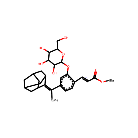 COC(=C1C2CC3CC(C2)CC1C3)c1ccc(/C=C/C(=O)OC(C)(C)C)c(OC2OC(CO)C(O)C(O)C2O)c1